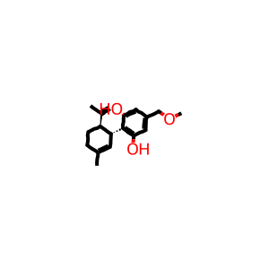 C=C(C)[C@@H]1CCC(C)=C[C@H]1c1c(O)cc(COC)cc1O